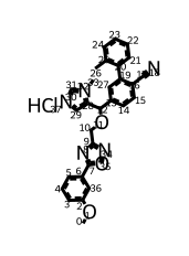 COc1cccc(-c2nc(COC(c3ccc(C#N)c(-c4ccccc4C)c3)c3cncn3C)no2)c1.Cl